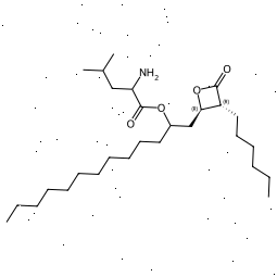 CCCCCCCCCCCC(C[C@H]1OC(=O)[C@@H]1CCCCCC)OC(=O)C(N)CC(C)C